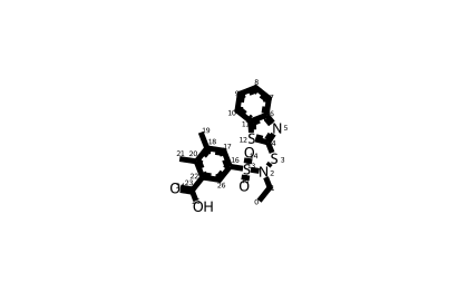 CCN(Sc1nc2ccccc2s1)S(=O)(=O)c1cc(C)c(C)c(C(=O)O)c1